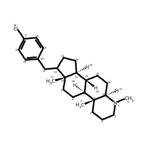 CN1CCC[C@]2(C)[C@H]3CC[C@]4(C)C(Cc5ccc(Cl)cc5)CC[C@H]4[C@@H]3CC[C@@H]12